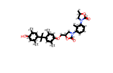 CCc1cc(C(C)(C)c2cc(CC)c(OCC3CN(c4cccc(N5CC(C)OC5=O)c4C)C(=O)O3)cc2CC)c(CC)cc1O